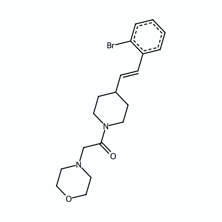 O=C(CN1CCOCC1)N1CCC(/C=C/c2ccccc2Br)CC1